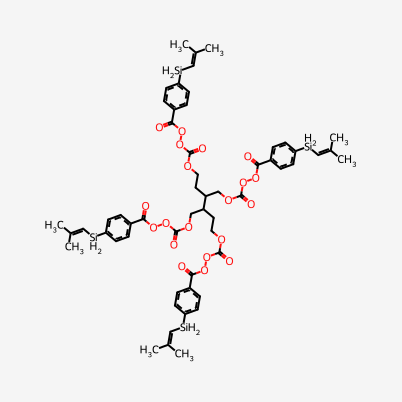 CC(C)=C[SiH2]c1ccc(C(=O)OOC(=O)OCCC(COC(=O)OOC(=O)c2ccc([SiH2]C=C(C)C)cc2)C(CCOC(=O)OOC(=O)c2ccc([SiH2]C=C(C)C)cc2)COC(=O)OOC(=O)c2ccc([SiH2]C=C(C)C)cc2)cc1